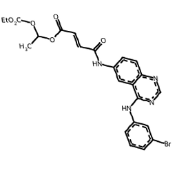 CCOC(=O)OC(C)OC(=O)C=CC(=O)Nc1ccc2ncnc(Nc3cccc(Br)c3)c2c1